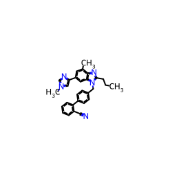 CCCc1nc2c(C)cc(-c3cn(C)cn3)cc2n1Cc1ccc(-c2ccccc2C#N)cc1